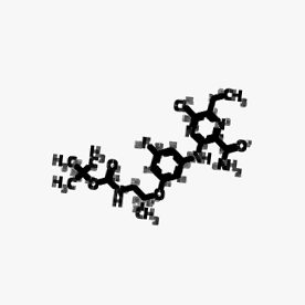 CCc1nc(C(N)=O)c(Nc2cc(F)cc(O[C@H](C)CNC(=O)OC(C)(C)C)c2)nc1Cl